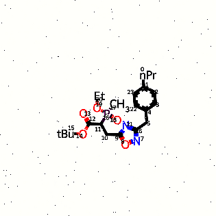 CCCc1ccc(Cc2noc(CC(C(=O)OC(C)(C)C)P(C)(=O)OCC)n2)cc1